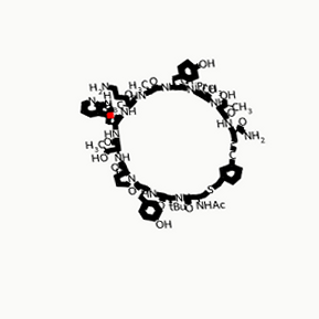 CC(=O)N[C@H]1CSCc2cccc(c2)CSC[C@H](C(N)=O)NC(=O)[C@H]([C@@H](C)O)NC(=O)[C@](C)(C(C)C)NC(=O)[C@H](Cc2ccc(O)cc2)NC(=O)[C@H](C)NC(=O)[C@](C)(CCCN)NC(=O)[C@H](Cc2c[nH]c3ncccc23)NC(=O)[C@H]([C@@H](C)O)NC(=O)[C@@H]2CCCN2C(=O)[C@H](Cc2ccc(O)cc2)NC(=O)[C@H](C(C)(C)C)NC1=O